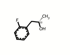 C[C@H](O)Cc1ccccc1F